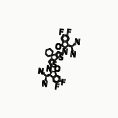 N#CC(C#N)=C1/C(=N/c2cc3c(s2)-c2sc(/N=C4\C(=O)c5cc(F)c(F)cc5C4=C(C#N)C#N)cc2C32CCCCC2)C(=O)c2cc(F)c(F)cc21